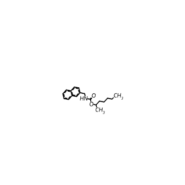 CCCCCC(C)OC(=O)NCc1ccc2ccccc2c1